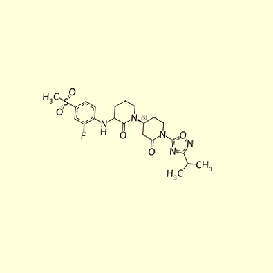 CC(C)c1noc(N2CC[C@H](N3CCCC(Nc4ccc(S(C)(=O)=O)cc4F)C3=O)CC2=O)n1